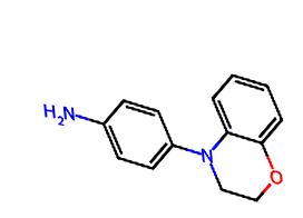 Nc1ccc(N2CCOc3ccccc32)cc1